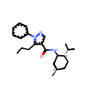 CCCc1c(C(=O)NC2C[C@H](C)CC[C@H]2C(C)C)cnn1-c1ccccc1